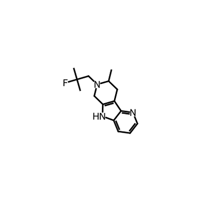 CC1Cc2c([nH]c3cccnc23)CN1CC(C)(C)F